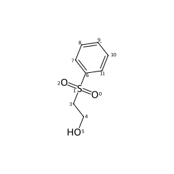 O=S(=O)(CCO)c1cc[c]cc1